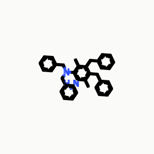 Cc1c(N)c(N(Cc2ccccc2)Cc2ccccc2)c(C)c(Cc2ccccc2)c1Cc1ccccc1